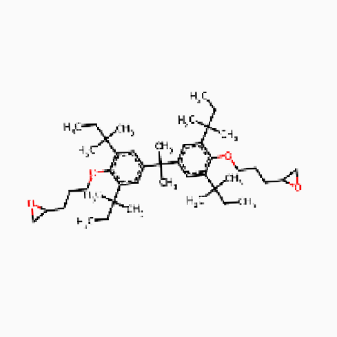 CCC(C)(C)c1cc(C(C)(C)c2cc(C(C)(C)CC)c(OCCCC3CO3)c(C(C)(C)CC)c2)cc(C(C)(C)CC)c1OCCCC1CO1